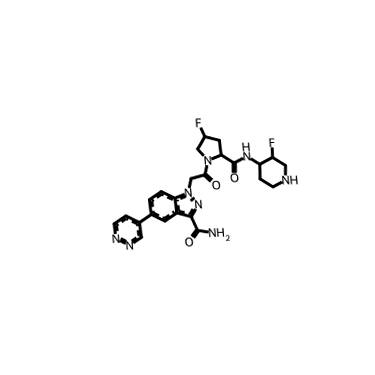 NC(=O)c1nn(CC(=O)N2CC(F)CC2C(=O)NC2CCNCC2F)c2ccc(-c3ccnnc3)cc12